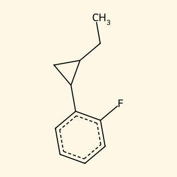 CCC1CC1c1ccccc1F